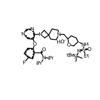 CCS(=O)(=N[Si](C)(C)C(C)(C)C)N[C@@H]1CC[C@](O)(CN2CCC3(CC2)CN(c2ncncc2Oc2ccc(F)cc2C(=O)N(C(C)C)C(C)C)C3)OC1